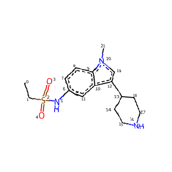 CCS(=O)(=O)Nc1ccc2c(c1)c(C1CCNCC1)cn2C